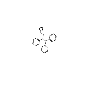 Cc1ccc(C(=C(CCCl)c2ccccc2)c2ccccc2)cc1